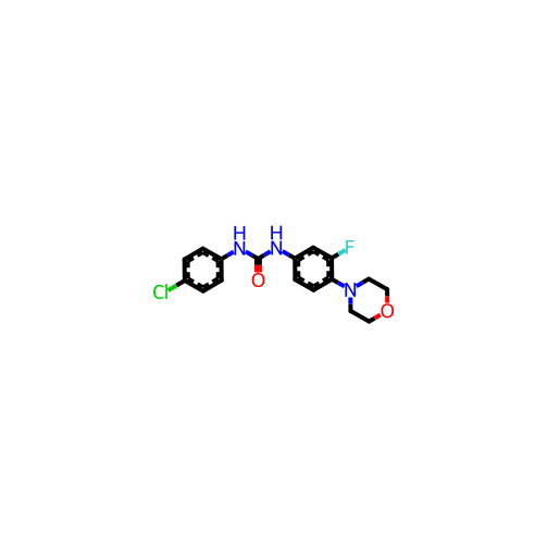 O=C(Nc1ccc(Cl)cc1)Nc1ccc(N2CCOCC2)c(F)c1